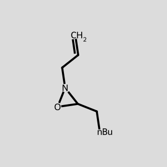 C=CCN1OC1CCCCC